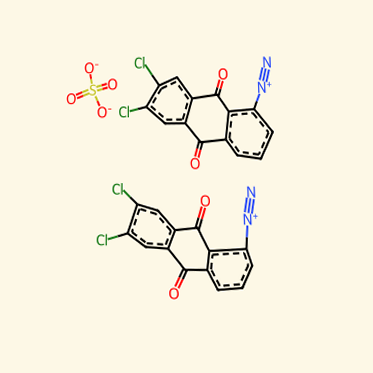 N#[N+]c1cccc2c1C(=O)c1cc(Cl)c(Cl)cc1C2=O.N#[N+]c1cccc2c1C(=O)c1cc(Cl)c(Cl)cc1C2=O.O=S(=O)([O-])[O-]